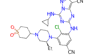 CC[C@H]1CN(C2CCS(=O)(=O)CC2)CCN1c1cc(C#N)cc(Nc2nc(NC3CC3)n3ncc(C#N)c3n2)c1Cl